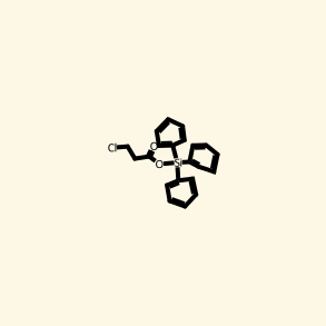 O=C(CCCl)O[Si](c1ccccc1)(c1ccccc1)c1ccccc1